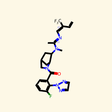 C=C/C(=C\N=C(/C)N(C)C1CC2CC1N(C(=O)c1cccc(F)c1-n1nccn1)C2)C(F)(F)F